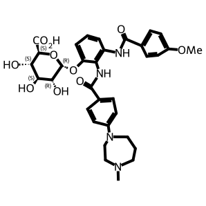 COc1ccc(C(=O)Nc2cccc(O[C@H]3O[C@H](C(=O)O)[C@@H](O)[C@H](O)[C@H]3O)c2NC(=O)c2ccc(N3CCCN(C)CC3)cc2)cc1